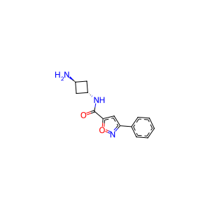 N[C@H]1C[C@H](NC(=O)c2cc(-c3ccccc3)no2)C1